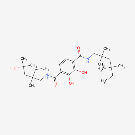 BC(C)(C)CC(C)(CC)CNC(=O)c1ccc(C(=O)NCC(C)(C)CC(C)(C)CC)c(O)c1O